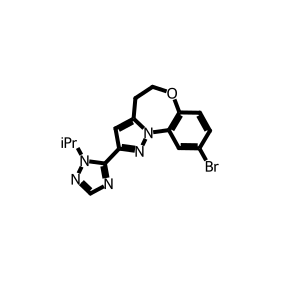 CC(C)n1ncnc1-c1cc2n(n1)-c1cc(Br)ccc1OCC2